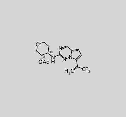 C=C(c1ccc2cnc(N[C@@H]3CCOC[C@H]3OC(C)=O)nn12)C(F)(F)F